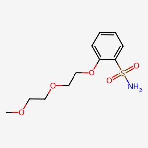 COCCOCCOc1ccccc1S(N)(=O)=O